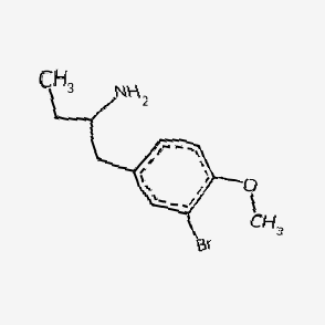 CCC(N)Cc1ccc(OC)c(Br)c1